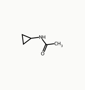 CC(=O)NC1CC1